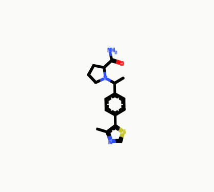 Cc1ncsc1-c1ccc(C(C)N2CCCC2C(N)=O)cc1